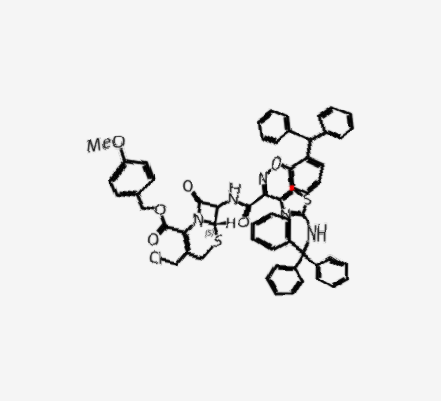 COc1ccc(COC(=O)C2=C(CCl)CS[C@H]3C(NC(=O)C(=NOc4ccccc4C(c4ccccc4)c4ccccc4)c4csc(NC(c5ccccc5)(c5ccccc5)c5ccccc5)n4)C(=O)N23)cc1